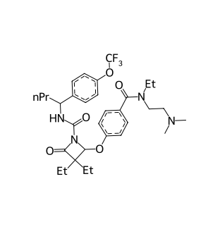 CCCC(NC(=O)N1C(=O)C(CC)(CC)C1Oc1ccc(C(=O)N(CC)CCN(C)C)cc1)c1ccc(OC(F)(F)F)cc1